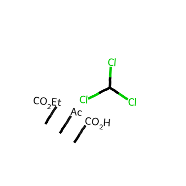 CC(=O)O.CC(C)=O.CCOC(C)=O.ClC(Cl)Cl